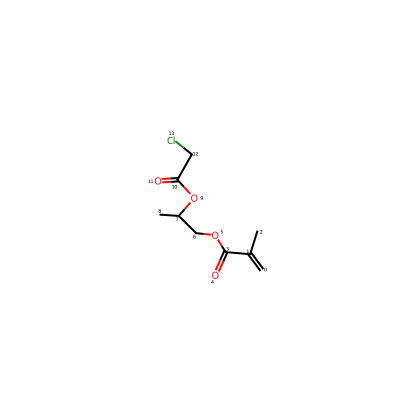 C=C(C)C(=O)OCC(C)OC(=O)CCl